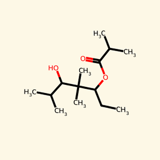 CCC(OC(=O)C(C)C)C(C)(C)C(O)C(C)C